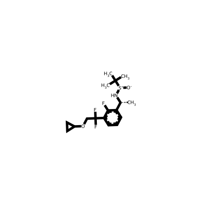 C[C@@H](N[S+]([O-])C(C)(C)C)c1cccc(C(F)(F)COC2CC2)c1F